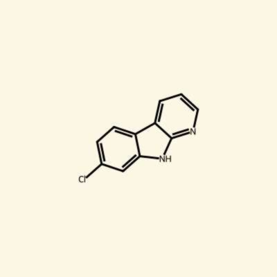 Clc1ccc2c(c1)[nH]c1ncccc12